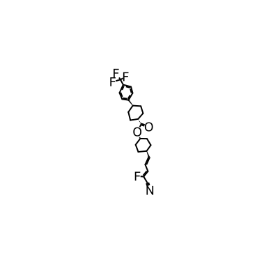 N#CC(F)=CC=C[C@H]1CC[C@H](OC(=O)[C@H]2CC[C@H](c3ccc(C(F)(F)F)cc3)CC2)CC1